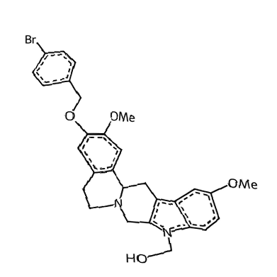 COc1ccc2c(c1)c1c(n2CO)CN2CCc3cc(OCc4ccc(Br)cc4)c(OC)cc3C2C1